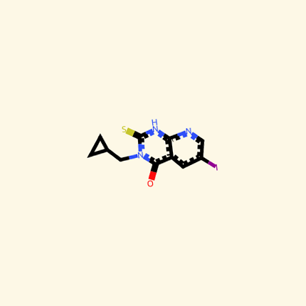 O=c1c2cc(I)cnc2[nH]c(=S)n1CC1CC1